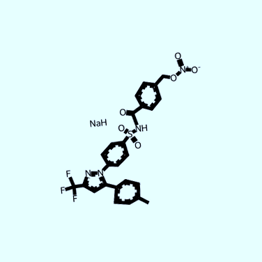 Cc1ccc(-c2cc(C(F)(F)F)nn2-c2ccc(S(=O)(=O)NC(=O)c3ccc(CO[N+](=O)[O-])cc3)cc2)cc1.[NaH]